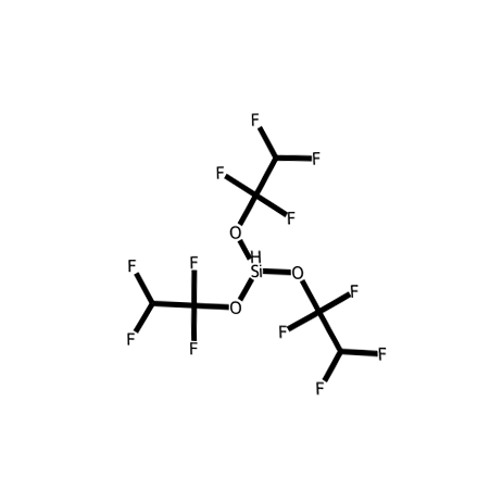 FC(F)C(F)(F)O[SiH](OC(F)(F)C(F)F)OC(F)(F)C(F)F